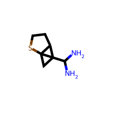 NC(N)C12CC13SCCC32